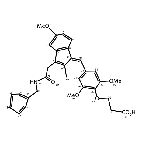 COc1ccc2c(c1)C(CC(=O)NCc1ccccc1)=C(C)C2=Cc1cc(OC)c(OCCC(=O)O)c(OC)c1